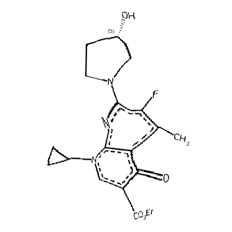 CCOC(=O)c1cn(C2CC2)c2nc(N3CC[C@H](O)C3)c(F)c(C)c2c1=O